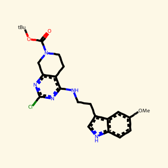 COc1ccc2[nH]cc(CCNc3nc(Cl)nc4c3CCN(C(=O)OC(C)(C)C)C4)c2c1